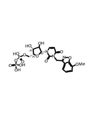 COc1cccc2c(Cn3c(=O)ccn([C@@H]4O[C@H](COP(=O)(O)OP(=O)(O)O)[C@H](O)C4O)c3=O)noc12